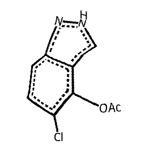 CC(=O)Oc1c(Cl)ccc2n[nH]cc12